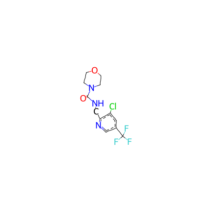 O=C(NCc1ncc(C(F)(F)F)cc1Cl)N1CCOCC1